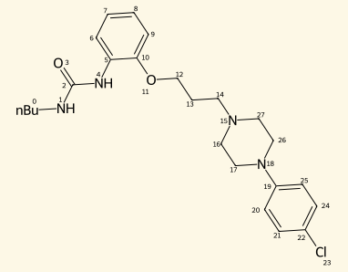 CCCCNC(=O)Nc1ccccc1OCCCN1CCN(c2ccc(Cl)cc2)CC1